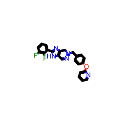 Fc1cccc(-c2nc3c([nH]2)C=NN(Cc2ccc(Oc4ccccn4)cc2)C3)c1F